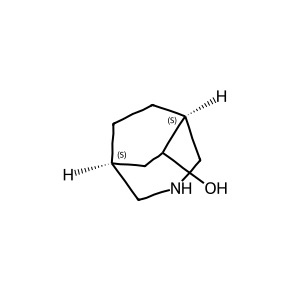 OC1C[C@@H]2CC[C@H]1CNC2